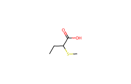 CC[C](SC)C(=O)O